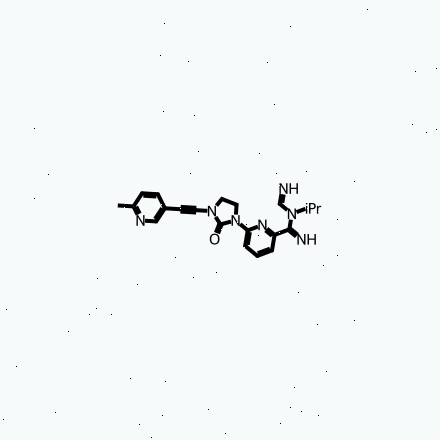 Cc1ccc(C#CN2CCN(c3cccc(C(=N)N(C=N)C(C)C)n3)C2=O)cn1